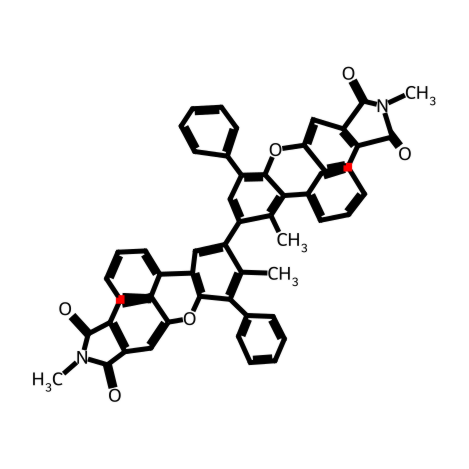 Cc1c(-c2cc(-c3ccccc3)c(Oc3ccc4c(c3)C(=O)N(C)C4=O)c(-c3ccccc3)c2C)cc(-c2ccccc2)c(Oc2ccc3c(c2)C(=O)N(C)C3=O)c1-c1ccccc1